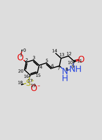 COc1cc(/C=C/C2NNC(=O)CC2C)cc([S+](C)[O-])c1